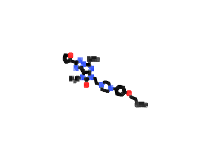 CNc1nc2c(c3nc(-c4ccco4)nn13)n(C)c(=O)n2CCN1CCN(c2ccc(OCCOC)cc2)CC1